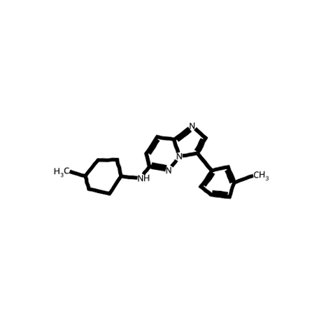 Cc1cccc(-c2cnc3ccc(NC4CCC(C)CC4)nn23)c1